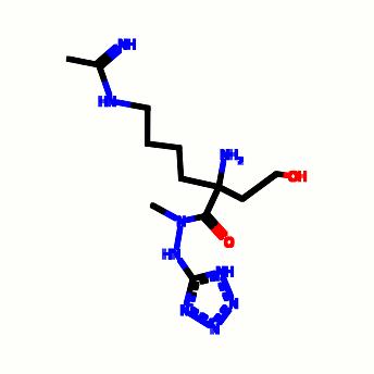 CC(=N)NCCCCC(N)(CCO)C(=O)N(C)Nc1nnn[nH]1